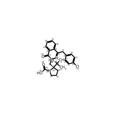 CC(C)(C)[C@]1(Cn2nc(Cc3ccc(Cl)cc3)c3ccccc3c2=O)CCCN1C(=O)O